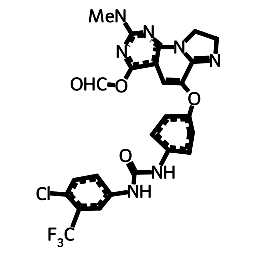 CNc1nc(OC=O)c2c(n1)N1CCN=C1C(Oc1ccc(NC(=O)Nc3ccc(Cl)c(C(F)(F)F)c3)cc1)=C2